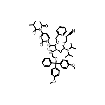 COc1ccc(C(OC[C@H]2O[C@@H](n3ccc(N(C(C)=O)C(=O)C(C)C)nc3=O)C(OCc3ccccc3)C2OP(OCCC#N)N(C(C)C)C(C)C)(c2ccccc2)c2ccc(OC)cc2)cc1